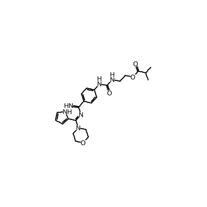 CC(C)C(=O)OCCNC(=O)Nc1ccc(C(=N)/N=C(\c2ccc[nH]2)N2CCOCC2)cc1